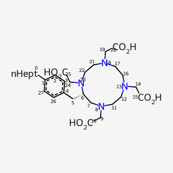 CCCCCCCc1ccc(C[C@H]2CN(CC(=O)O)CCN(CC(=O)O)CCN(CC(=O)O)CCN2CC(=O)O)cc1